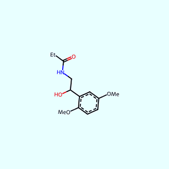 CCC(=O)NCC(O)c1cc(OC)ccc1OC